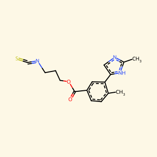 Cc1ncc(-c2cc(C(=O)OCCCN=C=S)ccc2C)[nH]1